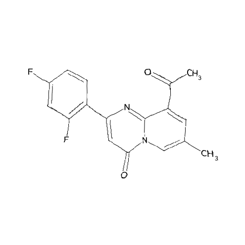 CC(=O)c1cc(C)cn2c(=O)cc(-c3ccc(F)cc3F)nc12